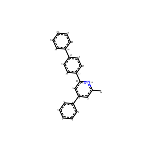 Cc1cc(-c2ccccc2)cc(-c2ccc(-c3ccccc3)cc2)n1